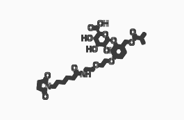 CC(C)C(=O)OCc1ccc(OCCOCCNC(=O)CCCCCN2C(=O)C=CC2=O)cc1O[C@@H]1O[C@H](C(=O)O)[C@@H](O)[C@H](O)[C@H]1O